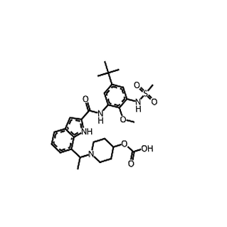 COc1c(NC(=O)c2cc3cccc(C(C)N4CCC(OC(=O)O)CC4)c3[nH]2)cc(C(C)(C)C)cc1NS(C)(=O)=O